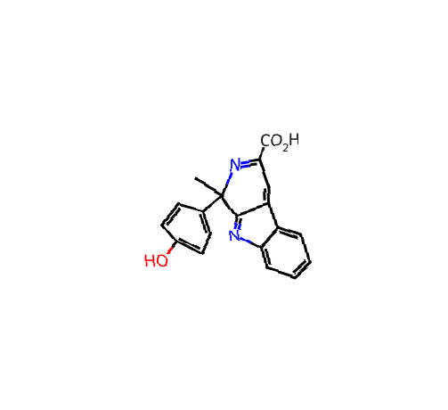 CC1(c2ccc(O)cc2)N=C(C(=O)O)C=C2C1=Nc1ccccc12